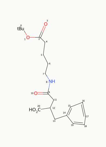 CC(C)(C)OC(=O)CCCCNC(=O)CC(Cc1ccccc1)C(=O)O